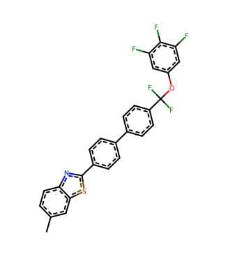 Cc1ccc2nc(-c3ccc(-c4ccc(C(F)(F)Oc5cc(F)c(F)c(F)c5)cc4)cc3)sc2c1